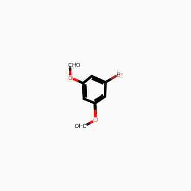 O=COc1cc(Br)cc(OC=O)c1